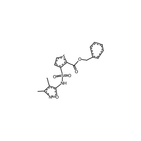 Cc1noc(NS(=O)(=O)c2ccsc2C(=O)OCc2ccccc2)c1C